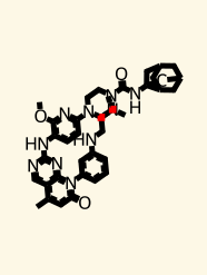 COc1nc(N2CCN(C(=O)NC34CC5CC(CC3C5)C4)CC2)ccc1Nc1ncc2c(C)cc(=O)n(-c3cccc(NCCN(C)C)c3)c2n1